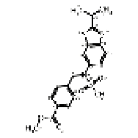 COC(=O)c1ccc(CN(c2ccc3nc(C(C)C)sc3c2)S(C)(=O)=O)cc1